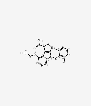 NC(=O)C1CCc2c1c1c(OCC(=O)O)cccc1n2Cc1c(F)cccc1F